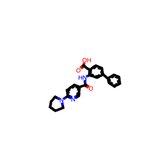 O=C(Nc1cc(-c2ccccc2)ccc1C(=O)O)c1ccc(N2CCCCC2)nc1